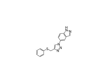 c1ccc(SCc2cn(-c3ccc4[nH]ncc4c3)nn2)cc1